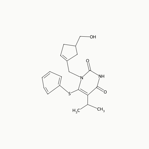 CC(C)c1c(Sc2ccccc2)n(CC2=CCC(CO)C2)c(=O)[nH]c1=O